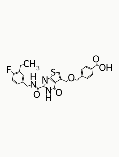 CCc1cc(CNC(=O)c2nc3scc(COCc4ccc(C(=O)O)cc4)c3c(=O)[nH]2)ccc1F